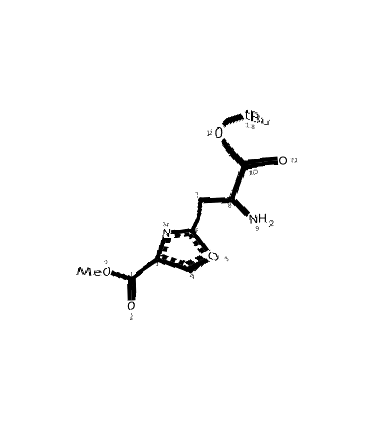 COC(=O)c1coc(CC(N)C(=O)OC(C)(C)C)n1